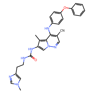 Cc1c(NC(=O)NCCc2cn(C)cn2)cn2ncc(C#N)c(Nc3ccc(Oc4ccccc4)cc3)c12